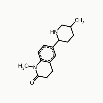 CC1CCC(c2ccc3c(c2)CCC(=O)N3C)NC1